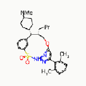 CN[C@H]1CC[C@H](C2c3cccc(c3)S(=O)(=O)Nc3nc(cc(-c4c(C)cccc4C)n3)OC[C@H]2CC(C)C)CC1